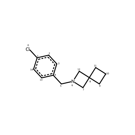 Clc1ccc(CN2CC3(C[CH]C3)C2)cc1